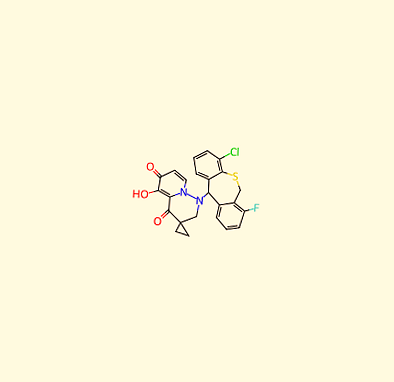 O=C1c2c(O)c(=O)ccn2N(C2c3cccc(F)c3CSc3c(Cl)cccc32)CC12CC2